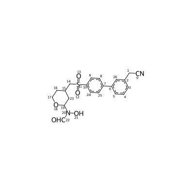 N#CCc1cccc(-c2ccc(S(=O)(=O)CC3CCOC(N(O)C=O)C3)cc2)c1